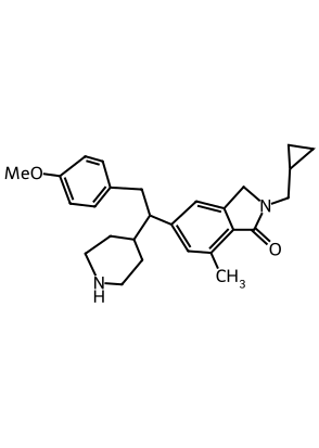 COc1ccc(CC(c2cc(C)c3c(c2)CN(CC2CC2)C3=O)C2CCNCC2)cc1